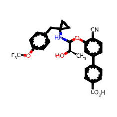 C[C@@H](O)C(NC1(Cc2ccc(OC(F)(F)F)cc2)CC1)Oc1cc(-c2ccc(C(=O)O)cc2)ccc1C#N